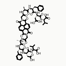 CC(C)C(NC(=O)[C@H](CC(=O)O)NC(=O)[C@H](Cc1ccccc1)NC(=O)[C@H](C)NC(=O)CN1C(=O)c2ccc3c4c(ccc(c24)C1=O)C(=O)N(CC(=O)N[C@@H](C)C(=O)N[C@@H](Cc1ccccc1)C(=O)N[C@@H](CC(=O)O)C(=O)N[C@H](C(=O)O)C(C)C)C3=O)C(=O)O